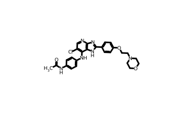 CC(=O)Nc1ccc(Nc2c(Cl)cnc3nc(-c4ccc(OCCN5CCOCC5)cc4)[nH]c23)cc1